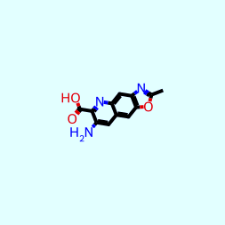 Cc1nc2cc3nc(C(=O)O)c(N)cc3cc2o1